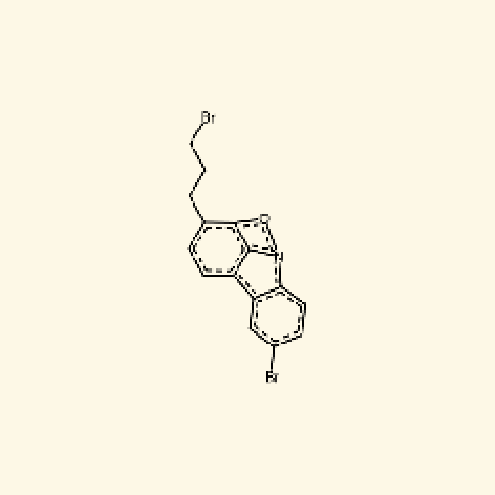 BrCCCc1ccc2c3cc(Br)ccc3n3oc1c23